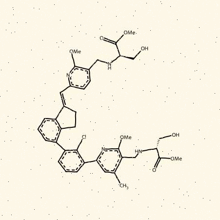 COC(=O)[C@@H](CO)NCc1ccc(/C=C2\CCc3c2cccc3-c2cccc(-c3cc(C)c(CN[C@H](CO)C(=O)OC)c(OC)n3)c2Cl)nc1OC